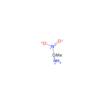 CO[N+](=O)[O-].N